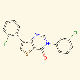 O=c1c2scc(-c3ccccc3F)c2ncn1-c1cccc(Cl)c1